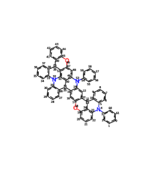 c1ccc(N2c3ccccc3B3c4cc5c(cc4Oc4cccc2c43)B2c3ccccc3N3c4ccccc4B4c6ccccc6Oc6cc(c2c3c64)N5c2ccccc2)cc1